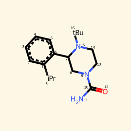 CC(C)c1ccccc1C1CN(C(N)=O)CCN1C(C)(C)C